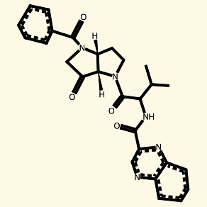 CC(C)C(NC(=O)c1cnc2ccccc2n1)C(=O)N1CC[C@@H]2[C@H]1C(=O)CN2C(=O)c1ccccc1